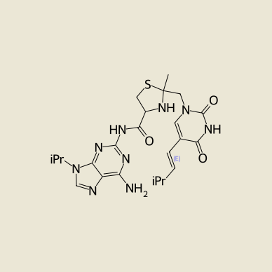 CC(C)/C=C/c1cn(CC2(C)NC(C(=O)Nc3nc(N)c4ncn(C(C)C)c4n3)CS2)c(=O)[nH]c1=O